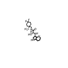 CC1(CNC(=O)C(O)Nc2c[nH]c3cccnc23)CCC(F)(F)CC1